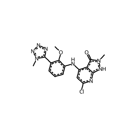 COc1c(Nc2cc(Cl)nc3[nH]n(C)c(=O)c23)cccc1-c1nnnn1C